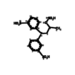 CC(CP(c1cccc(S(=O)(=O)O)c1)c1cccc(S(=O)(=O)O)c1)OS(=O)(=O)O